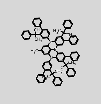 Cc1cc2c3c(c1)N(c1ccc(-c4ccccc4)c(C(C)(C)c4ccccc4)c1)c1cc(C(C)(C)c4ccccc4)c(-c4ccccc4)cc1B3c1cc(-c3ccccc3)c(C(C)(C)c3ccccc3)cc1N2c1ccc(-c2ccccc2)c(C(C)(C)c2ccccc2)c1